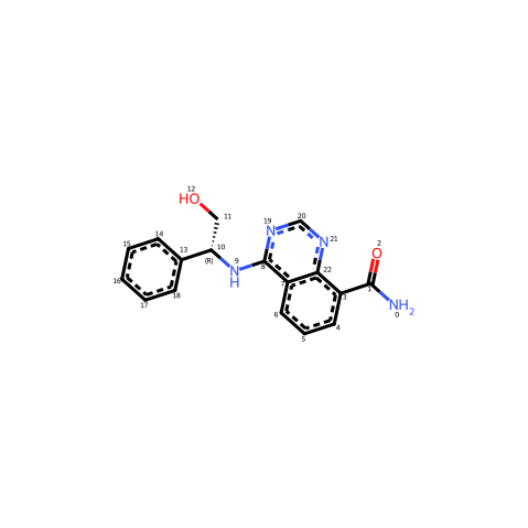 NC(=O)c1cccc2c(N[C@@H](CO)c3ccccc3)ncnc12